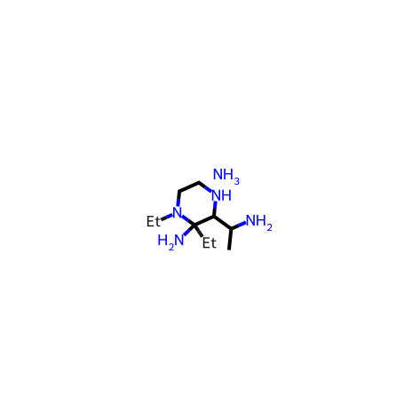 CCN1CCNC(C(C)N)C1(N)CC.N